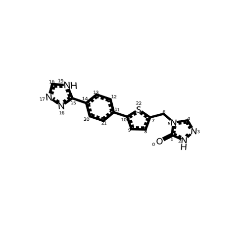 O=c1[nH]ncn1Cc1ccc(-c2ccc(-c3nnc[nH]3)cc2)s1